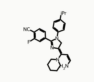 CC(C)c1ccc(N2C/C(=C(\C=C/N)N3CCCCC3)N=C2c2ccc(C#N)c(F)c2)cc1